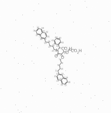 O=C(O)COC(C(=O)O)C(OCCCCCc1ccc2ccccc2c1)C(=O)N(CCCCCc1ccc2ccccc2c1)Cc1ccccc1